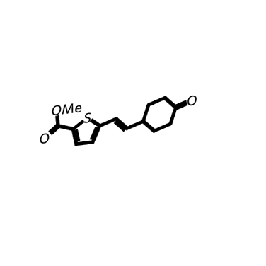 COC(=O)c1ccc(C=CC2CCC(=O)CC2)s1